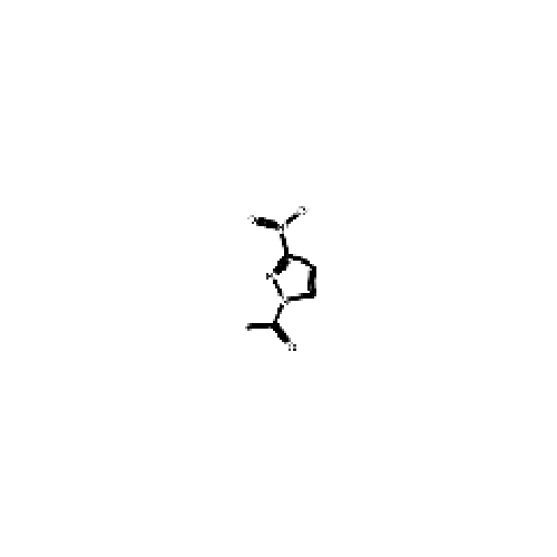 CC(=O)n1ccc([N+](=O)[O-])n1